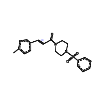 Cc1ccc(/C=C/C(=O)N2CCN(S(=O)(=O)c3ccccc3)CC2)cc1